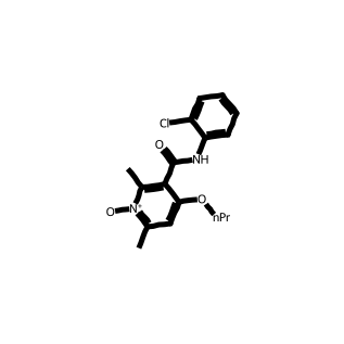 CCCOc1cc(C)[n+]([O-])c(C)c1C(=O)Nc1ccccc1Cl